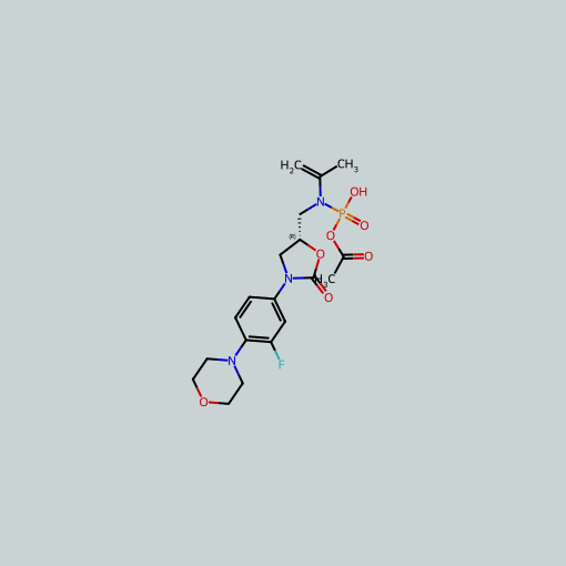 C=C(C)N(C[C@H]1CN(c2ccc(N3CCOCC3)c(F)c2)C(=O)O1)P(=O)(O)OC(C)=O